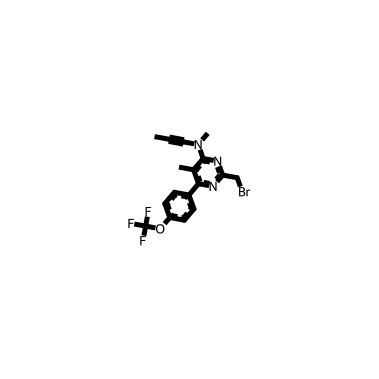 CC#CN(C)c1nc(CBr)nc(-c2ccc(OC(F)(F)F)cc2)c1C